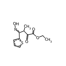 CCOC(=O)C(=O)C(C)C(=NO)c1cccs1